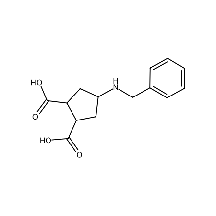 O=C(O)C1CC(NCc2ccccc2)CC1C(=O)O